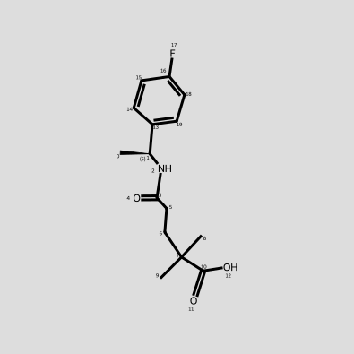 C[C@H](NC(=O)CCC(C)(C)C(=O)O)c1ccc(F)cc1